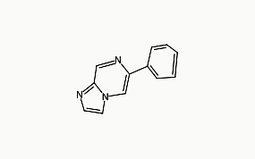 c1ccc(-c2cn3ccnc3cn2)cc1